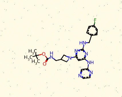 CC(C)(C)OC(=O)NCC1CN(c2cc(Nc3cnccn3)nc(NCc3ccc(F)cc3)n2)C1